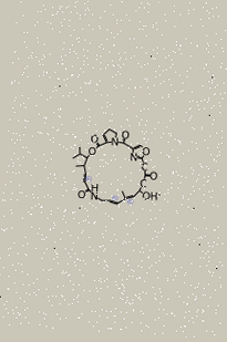 CC1=C\C(O)CC(=O)Cc2nc(co2)C(=O)N2CCC=C2C(=O)OC(C(C)C)C(C)/C=C/C(=O)NC\C=C\1